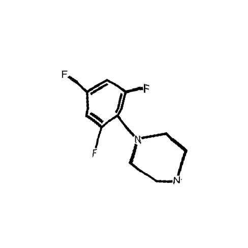 Fc1cc(F)c(N2CC[N]CC2)c(F)c1